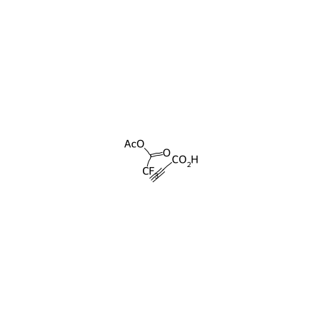 C#CC(=O)O.CC(=O)OC(=O)C(F)(F)F